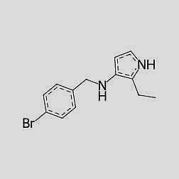 CCc1[nH]ccc1NCc1ccc(Br)cc1